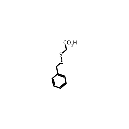 O=C(O)CSSCc1ccccc1